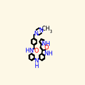 CN1CCN(Cc2ccc(C(=O)Nc3cccc(Nc4ccc5c(c4)C(=Cc4ccc[nH]4)C(=O)N5)c3)cc2)CC1